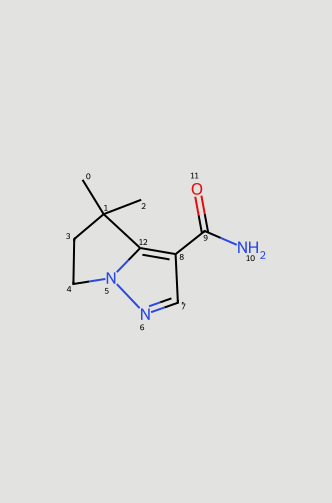 CC1(C)CCn2n[c]c(C(N)=O)c21